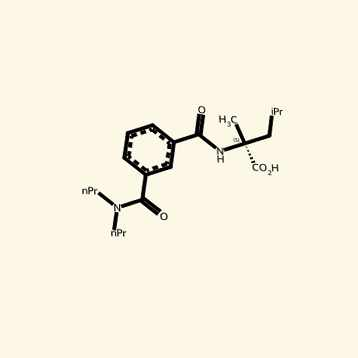 CCCN(CCC)C(=O)c1cccc(C(=O)N[C@@](C)(CC(C)C)C(=O)O)c1